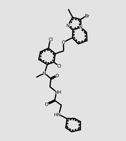 Cc1nc2c(OCc3c(Cl)ccc(N(C)C(=O)CNC(=O)CNc4ccccc4)c3Cl)cccn2c1Br